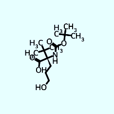 CC(C)(C)OC(=O)N[C@](CCCO)(C(=O)O)C(C)(C)C